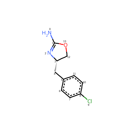 NC1=N[C@@H](Cc2ccc(Cl)cc2)CO1